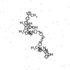 Cc1ncsc1-c1ccc([C@H](C)NC(=O)[C@@H]2C[C@@H](O)CN2C(=O)[C@@H](c2cc(N3CCC(CN4CCC(OC5CC(N6CCC([C@@H](C)n7cc(-c8cc(-c9ccccc9O)nnc8N)cn7)CC6)C5)CC4)CC3)no2)C(C)C)cc1